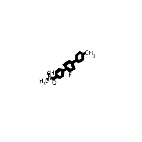 CC1CCC(c2ccc(-c3ccc(C(=O)N(C)C)cc3)c(F)c2)CC1